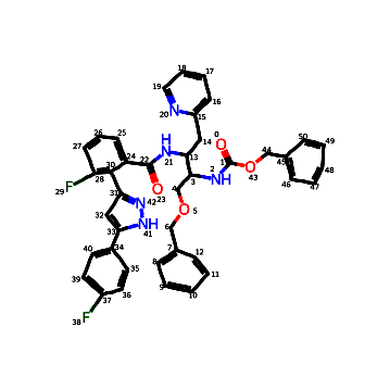 O=C(NC(COCc1ccccc1)C(Cc1ccccn1)NC(=O)c1cccc(F)c1-c1cc(-c2ccc(F)cc2)[nH]n1)OCc1ccccc1